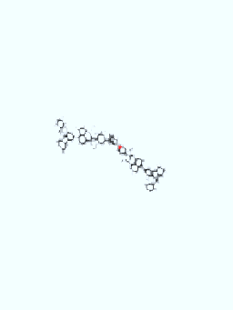 O=C1c2cccc3c(-c4ccc5c(c4)c4ccccc4n5Cc4ccccc4)ccc(c23)C(=O)N1c1ccc(-c2nnc(-c3ccc(N4C(=O)c5cccc6c(-c7ccc8c(c7)c7ccccc7n8Cc7ccccc7)ccc(c56)C4=O)cc3)o2)cc1